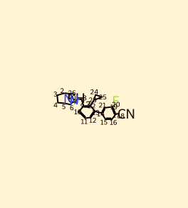 CN1C2CCC1CN(Cc1cccc(-c3ccc(C#N)c(F)c3)c1C1CC1)C2